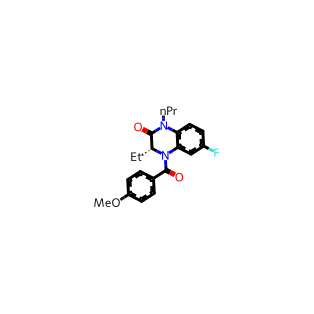 CCCN1C(=O)[C@@H](CC)N(C(=O)c2ccc(OC)cc2)c2cc(F)ccc21